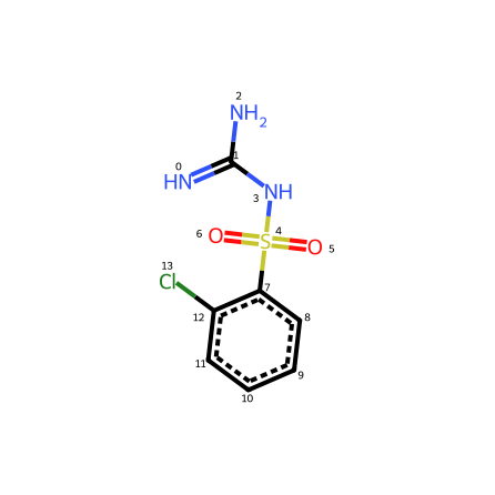 N=C(N)NS(=O)(=O)c1ccccc1Cl